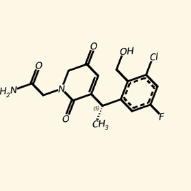 C[C@H](C1=CC(=O)CN(CC(N)=O)C1=O)c1cc(F)cc(Cl)c1CO